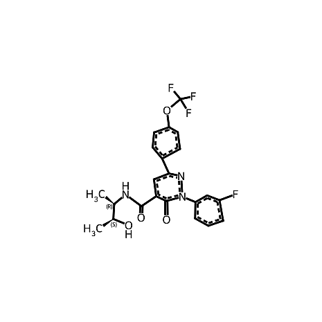 C[C@H](O)[C@@H](C)NC(=O)c1cc(-c2ccc(OC(F)(F)F)cc2)nn(-c2cccc(F)c2)c1=O